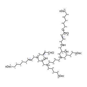 CCCCCCCCCCCCCCC/C=C/CN(C/C=C/C=O)CC(O)CN(CCCCCCCCCCCCCC)CCCCN(CCCCCCCCCCCCCC)CC(O)CNC/C=C/C(=O)OCCCCCCCCCCCCCCC